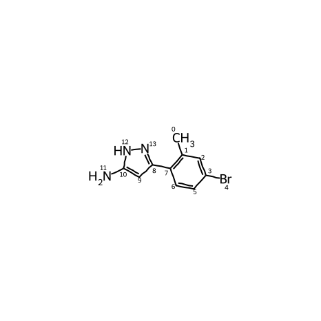 Cc1cc(Br)ccc1-c1cc(N)[nH]n1